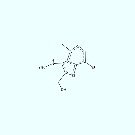 CCCCNc1c(CO)oc2c(CC)ccc(C)c12